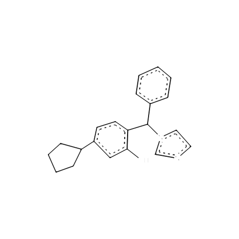 Cc1cc(C2CCCC2)ccc1C(c1ccccc1)n1ccnc1